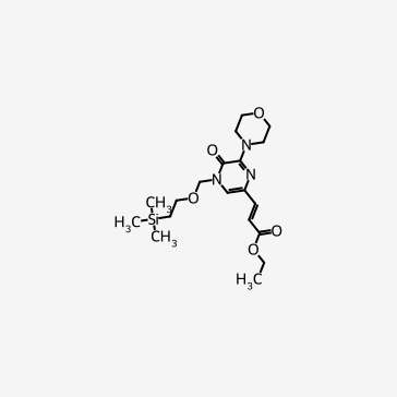 CCOC(=O)/C=C/c1cn(COCC[Si](C)(C)C)c(=O)c(N2CCOCC2)n1